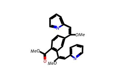 COC(=O)c1ccc(/C(=C\c2ccccn2)OC)cc1/C(=C\c1ccccn1)OC